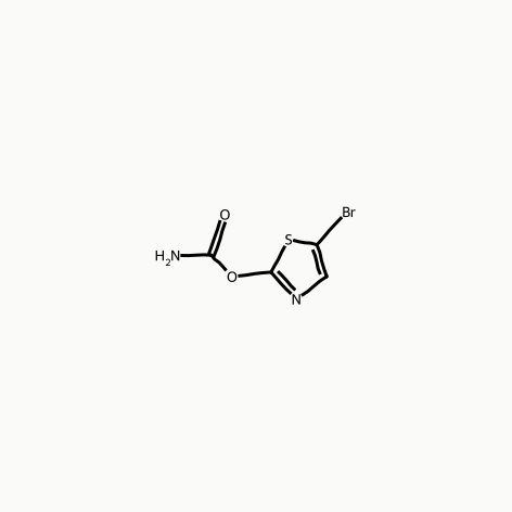 NC(=O)Oc1ncc(Br)s1